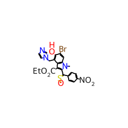 CCOC(=O)c1c(C(=S=O)c2ccc([N+](=O)[O-])cc2)n(C)c2cc(Br)c(O)c(Cn3ccnc3)c12